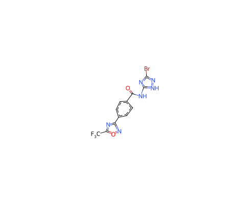 O=C(Nc1nc(Br)n[nH]1)c1ccc(-c2noc(C(F)(F)F)n2)cc1